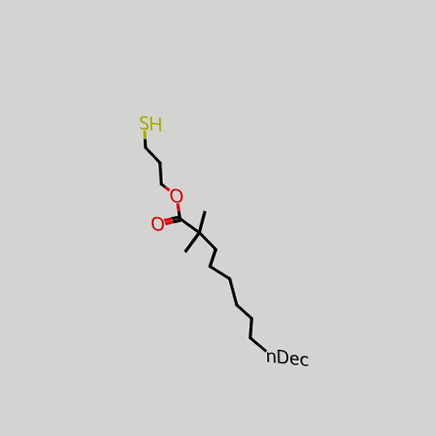 CCCCCCCCCCCCCCCCC(C)(C)C(=O)OCCCS